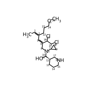 C/C=C(\C=C(\CN(C1CC1)C(O)[C@@H]1CCCNC1)C(Cl)CCl)CCCOC